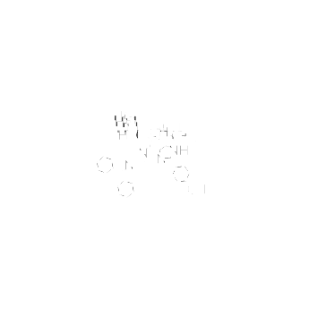 Cc1ccc(-c2nc(C(C(C)C)N3CCN(C(c4ccccc4)c4ccccc4)CC3)c(C(C)(C)C)[nH]2)cc1.Cl.Cl.Cl